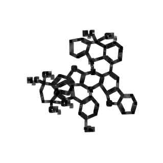 CC(C)(C)c1ccc(N2c3c(oc4cc5c(cc34)C(C)(C)CCC5(C)C)B3c4c(cc5c(oc6ccccc65)c42)-c2cccc4c2N3c2ccccc2C4(C)C)c(-c2ccccc2)c1